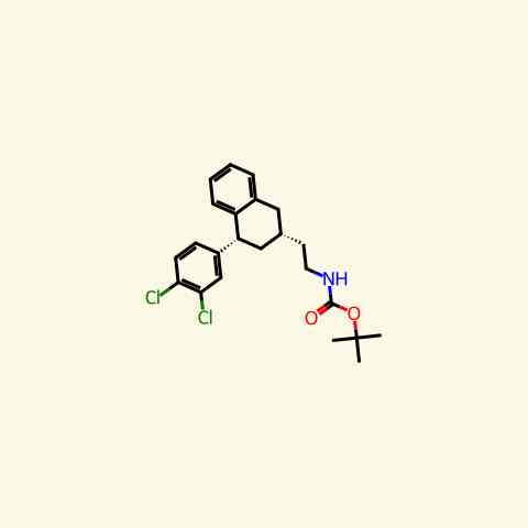 CC(C)(C)OC(=O)NCC[C@H]1Cc2ccccc2[C@@H](c2ccc(Cl)c(Cl)c2)C1